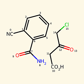 N#Cc1ccccc1C(N)=O.O=C(O)CC(=O)CCl